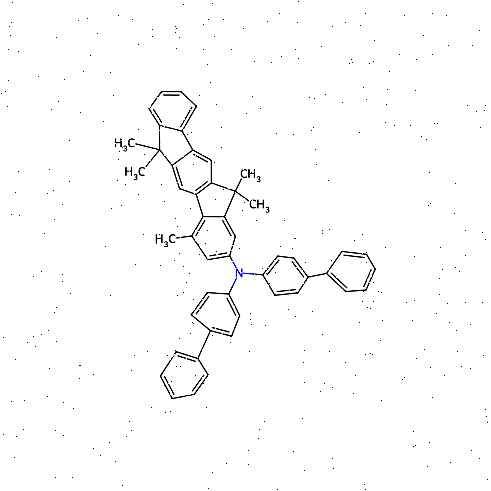 Cc1cc(N(c2ccc(-c3ccccc3)cc2)c2ccc(-c3ccccc3)cc2)cc2c1-c1cc3c(cc1C2(C)C)-c1ccccc1C3(C)C